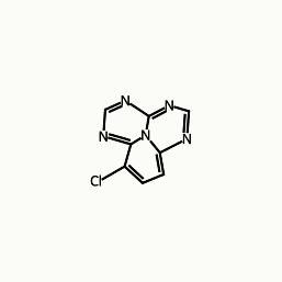 ClC1=CC=C2N=CN=C3N=CN=C1N23